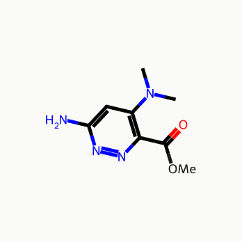 COC(=O)c1nnc(N)cc1N(C)C